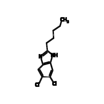 CCCCCc1nc2cc(Cl)c(Cl)cc2[nH]1